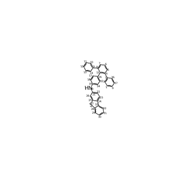 c1ccc(-c2cccc(-c3ccccc3)c2-c2ccc(Nc3ccc4c(c3)sc3ccccc34)cc2)cc1